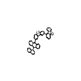 c1ccc2c(-c3c4ccccc4c(-c4ccc5oc6ccc(-c7cccc8oc9ccccc9c78)cc6c5c4)c4ccccc34)cccc2c1